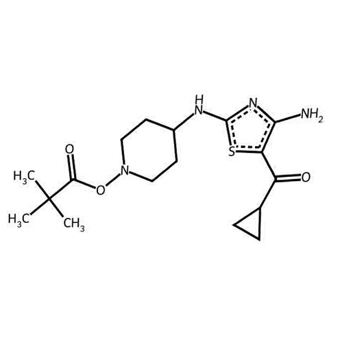 CC(C)(C)C(=O)ON1CCC(Nc2nc(N)c(C(=O)C3CC3)s2)CC1